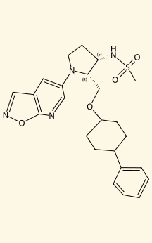 CS(=O)(=O)N[C@H]1CCN(c2cnc3oncc3c2)[C@H]1COC1CCC(c2ccccc2)CC1